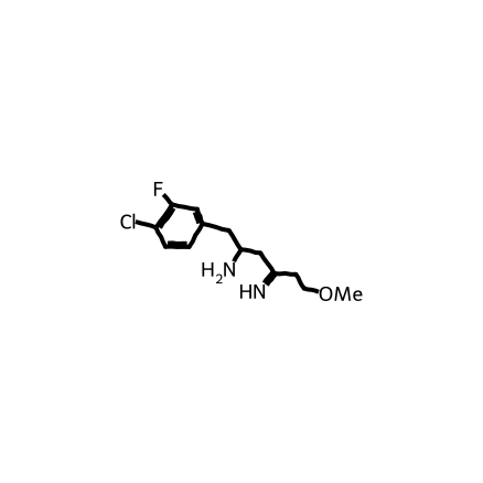 COCCC(=N)CC(N)Cc1ccc(Cl)c(F)c1